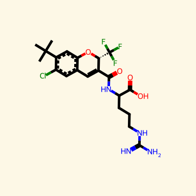 CC(C)(C)c1cc2c(cc1Cl)C=C(C(=O)NC(CCCNC(=N)N)C(=O)O)[C@@H](C(F)(F)F)O2